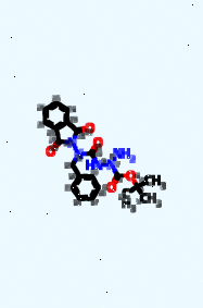 CC(C)(C)OC(=O)N(N)NC(=O)N(Cc1ccccc1)N1C(=O)c2ccccc2C1=O